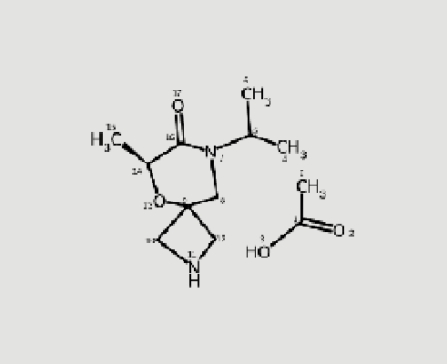 CC(=O)O.CC(C)N1CC2(CNC2)O[C@@H](C)C1=O